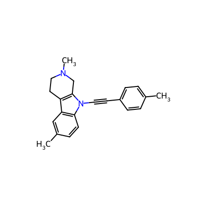 Cc1ccc(C#Cn2c3c(c4cc(C)ccc42)CCN(C)C3)cc1